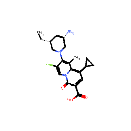 CC[C@@H]1C[C@H](N)CN(c2c(F)cn3c(=O)c(C(=O)O)cc(C4CC4)c3c2C)C1